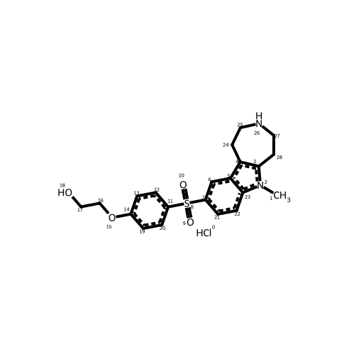 Cl.Cn1c2c(c3cc(S(=O)(=O)c4ccc(OCCO)cc4)ccc31)CCNCC2